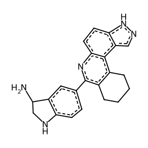 NC1CNc2ccc(-c3nc4ccc5[nH]ncc5c4c4c3CCCC4)cc21